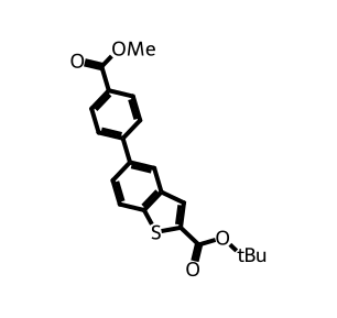 COC(=O)c1ccc(-c2ccc3sc(C(=O)OC(C)(C)C)cc3c2)cc1